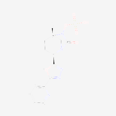 O=C1N2C[C@H](CC[C@@H]2c2nnc(-c3ccccn3)o2)N1OS(=O)(=O)O